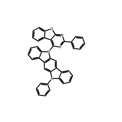 c1ccc(-c2nc(-n3c4ccccc4c4cc5c(cc43)c3ccccc3n5-c3ccccc3)c3c(n2)oc2ccccc23)cc1